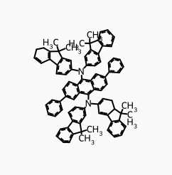 CC1(C)C2=C(C=CCC2)c2ccc(N(c3ccc4c(c3)C(C)(C)c3ccccc3-4)c3c4ccc(-c5ccccc5)cc4c(N(C4=CCC5C(=C4)c4ccccc4C5(C)C)c4ccc5c(c4)C(C)(C)c4ccccc4-5)c4ccc(-c5ccccc5)cc34)cc21